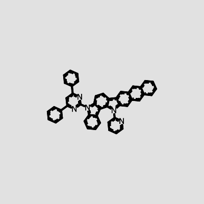 c1ccc(-c2cc(-c3ccccc3)nc(-n3c4ccccc4c4c3ccc3c5cc6cc7ccccc7cc6cc5n(-c5ccccn5)c34)n2)cc1